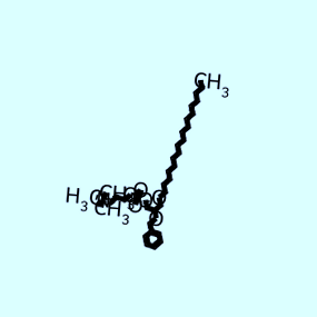 CCCCCCCCCCCCCCCCCCOCC(COP(=O)([O-])OCCC[N+](C)(C)C)OCc1ccccc1